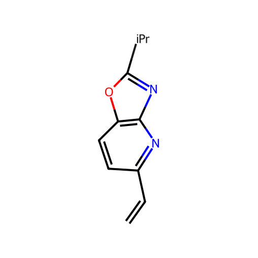 C=Cc1ccc2oc(C(C)C)nc2n1